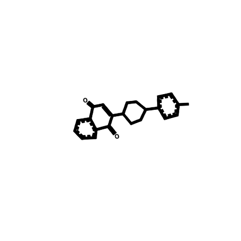 Cc1ccc(C2CCC(C3=CC(=O)c4ccccc4C3=O)CC2)cc1